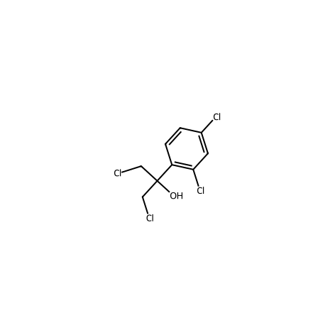 OC(CCl)(CCl)c1ccc(Cl)cc1Cl